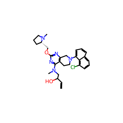 C=CC(O)CN(C)c1nc(OC[C@@H]2CCCN2C)nc2c1CCN(c1cccc3cccc(Cl)c13)C2